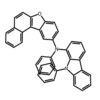 c1ccc(N(c2ccc3oc4ccc5ccccc5c4c3c2)c2cccc3c4ccccc4n(-c4ccccc4)c23)cc1